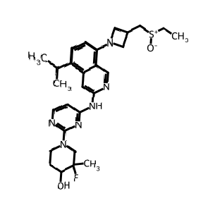 CC[S+]([O-])CC1CN(c2ccc(C(C)C)c3cc(Nc4ccnc(N5CCC(O)C(C)(F)C5)n4)ncc23)C1